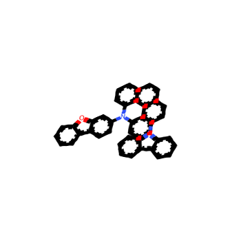 c1ccc(-c2ccccc2N(c2ccc3c(c2)oc2ccccc23)c2ccccc2-c2cccc(-n3c4ccccc4c4ccccc43)c2)cc1